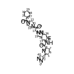 Cn1cc(-c2cccc(C(=O)Nc3cc4cn(CC(=O)N5CCN(C(=O)c6ccccc6)CC5)nc4cc3F)n2)cn1